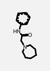 O=C(CN1CCCCCC1)Nc1cc[c]cc1